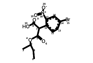 CCC(C)OC(=O)C(C(=O)O)c1ccc(Br)cc1[N+](=O)[O-]